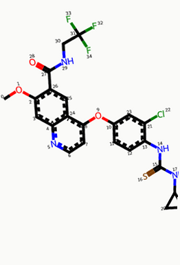 COc1cc2nccc(Oc3ccc(NC(=S)NC4CC4)c(Cl)c3)c2cc1C(=O)NCC(F)(F)F